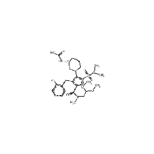 COC(CN(C)C(=O)c1nn(S(=O)(=O)N(C)C)c(N2CCC[C@@H](NC(=O)O)C2)c1Cc1ccccc1Cl)OC